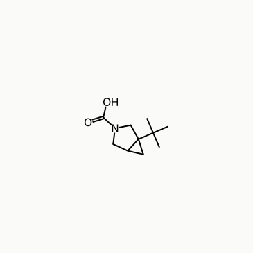 CC(C)(C)C12CC1CN(C(=O)O)C2